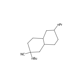 CCCCC1(C#N)CCC2CC(CCC)CCC2C1